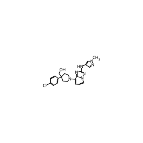 Cn1cc(Nc2nc3c(N4CCC(CO)(c5ccc(Cl)cc5)CC4)cccn3n2)cn1